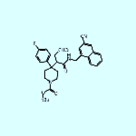 CC(C)(C)OC(=O)N1CCC(c2ccc(F)cc2)(C(CC=O)C(=O)NCc2cc(C#N)cc3ccccc23)CC1